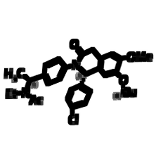 CC[C@@H](C)Oc1cc2c(cc1OC)CC(=O)N(c1ccc([C@H](C)N(CC)C(C)=O)cc1)[C@H]2c1ccc(Cl)cc1